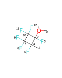 COC1(F)C(C)(F)C(F)(F)C1(F)F